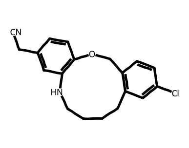 N#CCc1ccc2c(c1)NCCCCc1cc(Cl)ccc1CO2